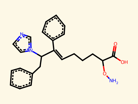 NOC(CCC/C=C(\c1ccccc1)C(Cc1ccccc1)n1ccnc1)C(=O)O